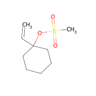 C=CC1(OS(C)(=O)=O)CCCCC1